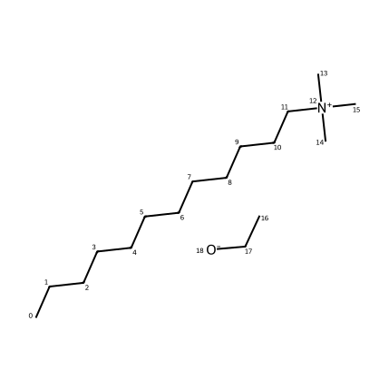 CCCCCCCCCCCC[N+](C)(C)C.CC[O-]